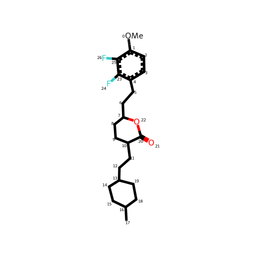 COc1ccc(CCC2CCC(CCC3CCC(C)CC3)C(=O)O2)c(F)c1F